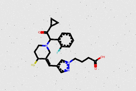 O=C(O)CCCn1cc(/C=C2\CN(C(C(=O)C3CC3)c3ccccc3F)CCC2S)cn1